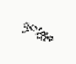 CC(C)Oc1nccnc1N1CCN(C(=O)C(=O)c2c[nH]c3c(-n4ccnn4)ncc(F)c23)CC1